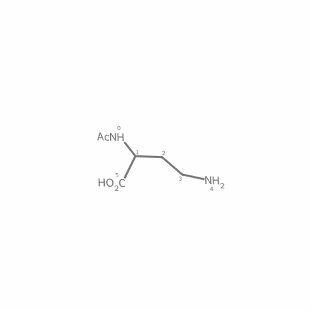 CC(=O)NC(CCN)C(=O)O